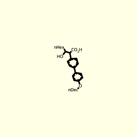 CCCCCCCCCCOc1ccc(-c2ccc(C(C(=O)O)C(O)CCCCCC)cc2)cc1